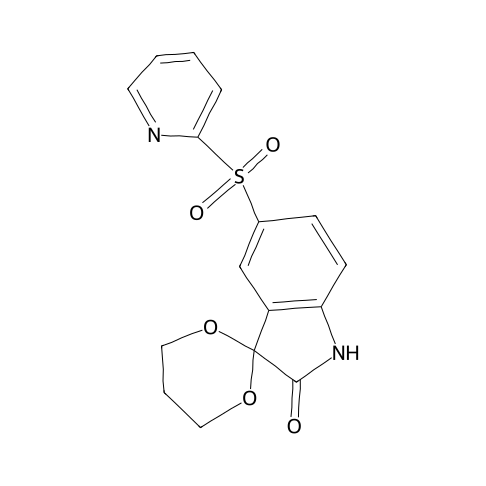 O=C1Nc2ccc(S(=O)(=O)c3ccccn3)cc2C12OCCCO2